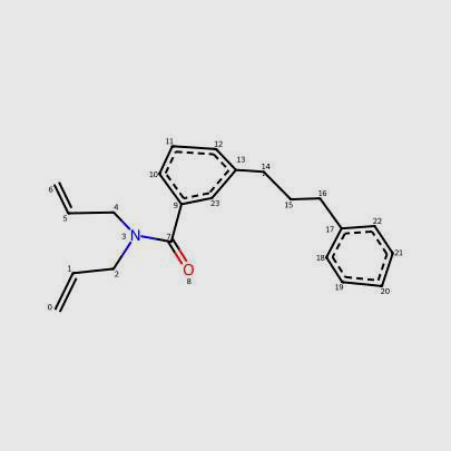 C=CCN(CC=C)C(=O)c1cccc([CH]CCc2ccccc2)c1